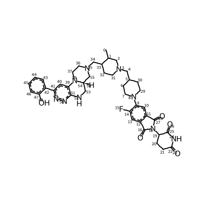 CC1CN(CC2CCN(c3cc4c(cc3F)C(=O)N(C3CCC(=O)NC3=O)C4=O)CC2)CCC1CN1CCN2c3cc(-c4ccccc4O)nnc3NC[C@H]2C1